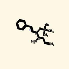 C=CC[C@@H](N)[C@@H](/C=C/c1ccccc1)O[Si](C)(C)C(C)(C)C